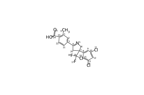 Cc1cc(C2=NCC(c3cc(Cl)cc(Cl)c3)(C(F)(F)Cl)C2)ccc1C(=O)O